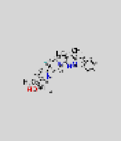 Cc1c(Cc2ccccc2)nnc(N2CCC(F)(c3ccc(C(C)(C)O)cn3)CC2)c1C